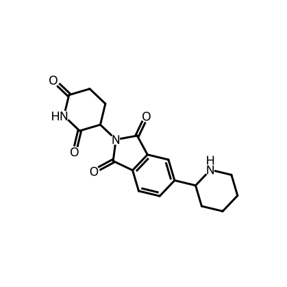 O=C1CCC(N2C(=O)c3ccc(C4CCCCN4)cc3C2=O)C(=O)N1